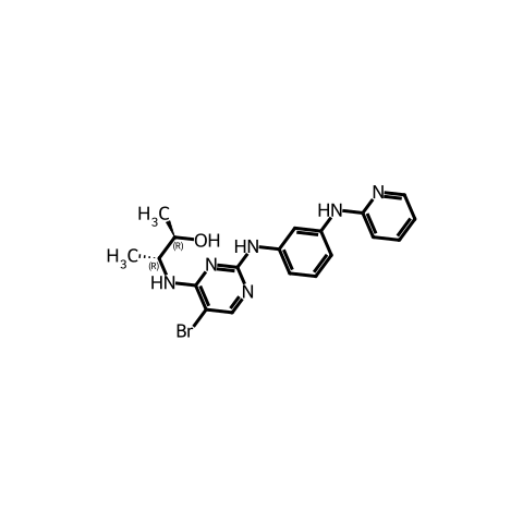 C[C@@H](O)[C@@H](C)Nc1nc(Nc2cccc(Nc3ccccn3)c2)ncc1Br